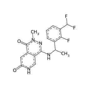 CC(Nc1nn(C)c(=O)c2cc(=O)[nH]cc12)c1cccc(C(F)F)c1F